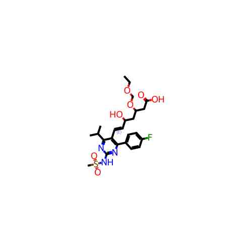 CCOCOC(CC(=O)O)CC(O)/C=C/c1c(-c2ccc(F)cc2)nc(NS(C)(=O)=O)nc1C(C)C